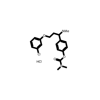 CNC(CCOc1cccc(Cl)c1)c1ccc(OC(=O)N(C)C)cc1.Cl